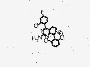 Nc1nc(-c2ccc(F)cc2Cl)c2cc[n+]([O-])c(-c3c(Cl)cccc3Cl)c2n1